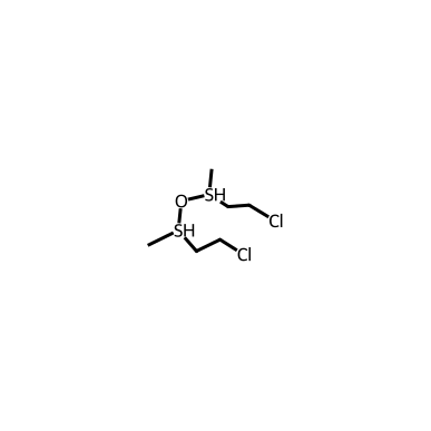 C[SH](CCCl)O[SH](C)CCCl